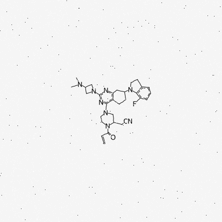 C=CC(=O)N1CCN(c2nc(N3CC(N(C)C)C3)nc3c2CCC(N2CCc4cccc(F)c42)C3)CC1CC#N